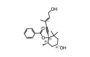 C/C(C#C[C@]1(OC(=O)c2ccccc2)[C@H](C)C[C@@H](O)CC1(C)C)=C\CO